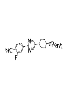 CCCCCC1CCC(c2cnc(-c3ccc(C#N)c(F)c3)nc2)CC1